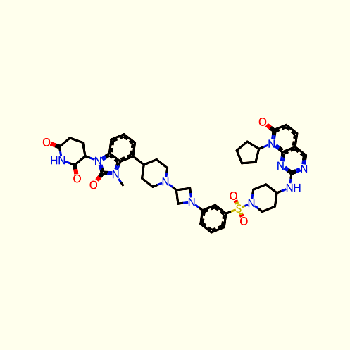 Cn1c(=O)n(C2CCC(=O)NC2=O)c2cccc(C3CCN(C4CN(c5cccc(S(=O)(=O)N6CCC(Nc7ncc8ccc(=O)n(C9CCCC9)c8n7)CC6)c5)C4)CC3)c21